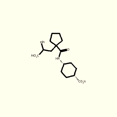 CCCC(CC1(C(=O)N[C@H]2CC[C@@H](C(=O)O)CC2)CCCC1)C(=O)O